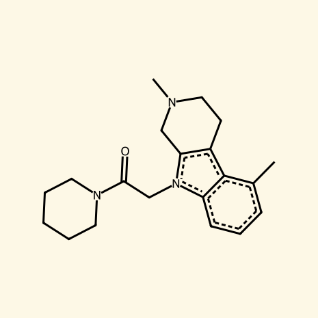 Cc1cccc2c1c1c(n2CC(=O)N2CCCCC2)CN(C)CC1